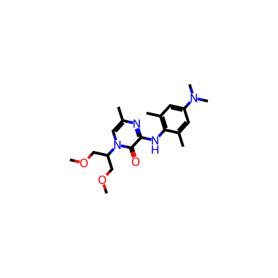 COCC(COC)n1cc(C)nc(Nc2c(C)cc(N(C)C)cc2C)c1=O